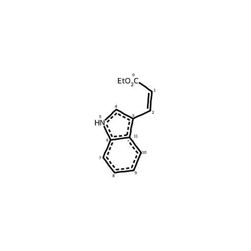 CCOC(=O)/C=C\c1c[nH]c2ccccc12